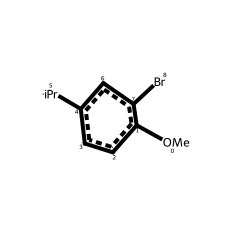 COc1ccc([C](C)C)cc1Br